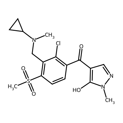 CN(Cc1c(S(C)(=O)=O)ccc(C(=O)c2cnn(C)c2O)c1Cl)C1CC1